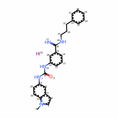 Cn1ccc2cc(NC(=O)Nc3cccc(C(=N)NCCCc4ccccc4)c3)ccc21.I